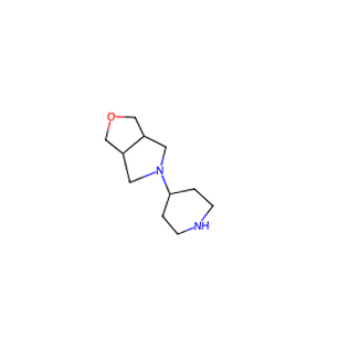 C1CC(N2CC3COCC3C2)CCN1